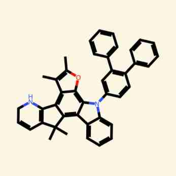 Cc1oc2c(c1C)c1c(c3c4ccccc4n(-c4ccc(-c5ccccc5)c(-c5ccccc5)c4)c23)C(C)(C)C2=C1NCC=C2